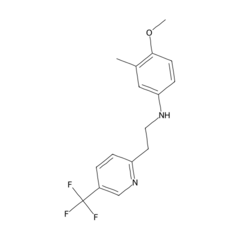 COc1ccc(NCCc2ccc(C(F)(F)F)cn2)cc1C